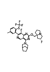 Cc1ccc(SC(F)(F)F)c(-c2ncc3c(N4CC5CCC(C5)C4)nc(OC[C@@]45CCCN4C[C@H](F)C5)nc3c2F)c1